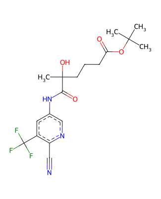 CC(C)(C)OC(=O)CCCC(C)(O)C(=O)Nc1cnc(C#N)c(C(F)(F)F)c1